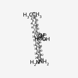 CCCCCCCCCCCCCCCCCCCCCCN.CCCCCCCCCCCCCCCCCCCCCCN.O=P(O)(O)F